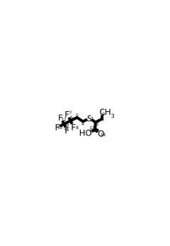 CCC(SCCC(F)(F)C(F)(F)F)C(=O)O